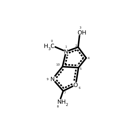 Cn1c(O)cc2oc(N)nc21